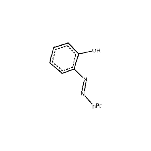 CCCN=Nc1ccccc1O